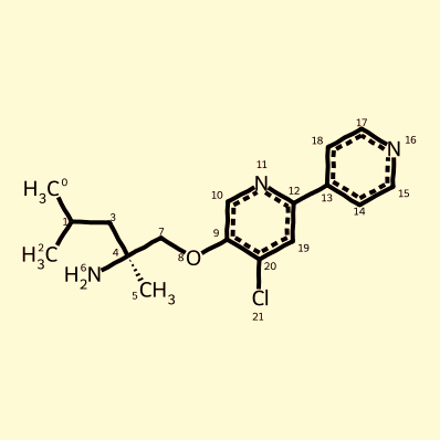 CC(C)C[C@](C)(N)COc1cnc(-c2ccncc2)cc1Cl